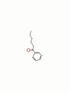 CCCCCC(=O)c1c[c]ccc1